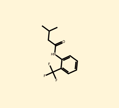 CC(C)CC(=O)Nc1ccccc1C(F)(F)F